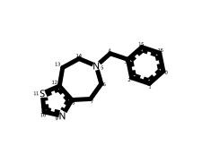 c1ccc(CN2CCc3ncsc3CC2)cc1